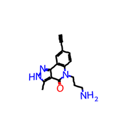 C#Cc1ccc2c(c1)c1n[nH]c(C)c1c(=O)n2CCCN